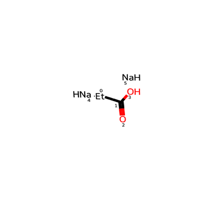 C[CH]C(=O)O.[NaH].[NaH]